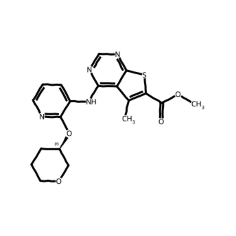 COC(=O)c1sc2ncnc(Nc3cccnc3O[C@@H]3CCCOC3)c2c1C